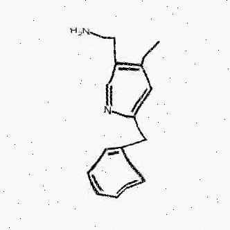 Cc1cc(Cc2ccccc2)ncc1CN